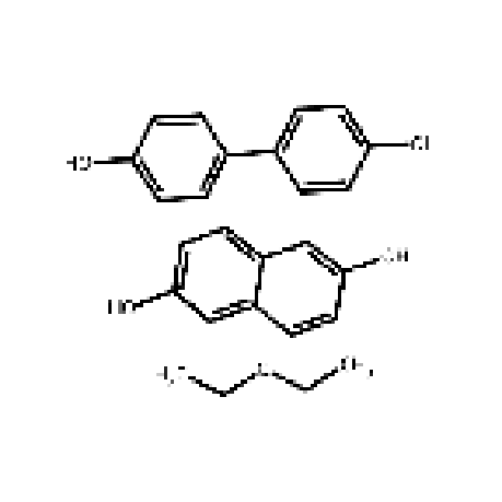 CCOCC.Oc1ccc(-c2ccc(O)cc2)cc1.Oc1ccc2cc(O)ccc2c1